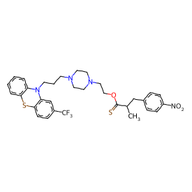 CC(Cc1ccc([N+](=O)[O-])cc1)C(=S)OCCN1CCN(CCCN2c3ccccc3Sc3ccc(C(F)(F)F)cc32)CC1